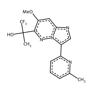 COc1cc2ncc(-c3cccc(C)n3)n2nc1C(C)(O)C(F)(F)F